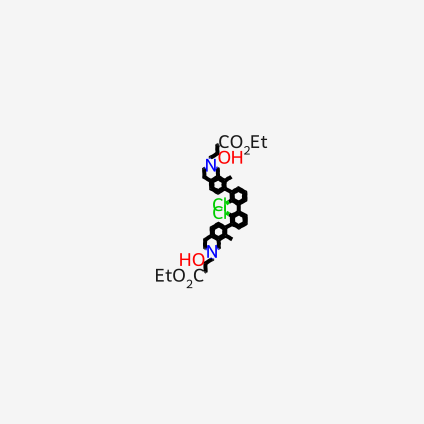 CCOC(=O)C[C@H](O)CN1CCc2ccc(-c3cccc(-c4cccc(-c5ccc6c(c5C)CN(C[C@@H](O)CC(=O)OCC)CC6)c4Cl)c3Cl)c(C)c2C1